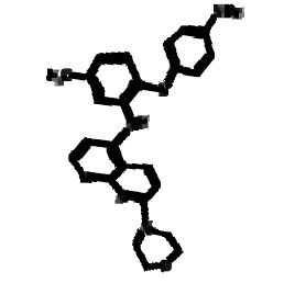 CC(=O)Nc1ccc(Sc2ccc(C)cc2Nc2ccnc3nc(N4CCOCC4)ccc23)cc1